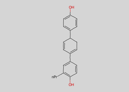 CCCc1cc(C2=CCC(c3ccc(O)cc3)C=C2)ccc1O